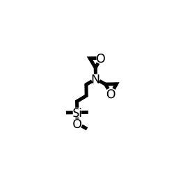 CO[Si](C)(C)CCCN(C1CO1)C1CO1